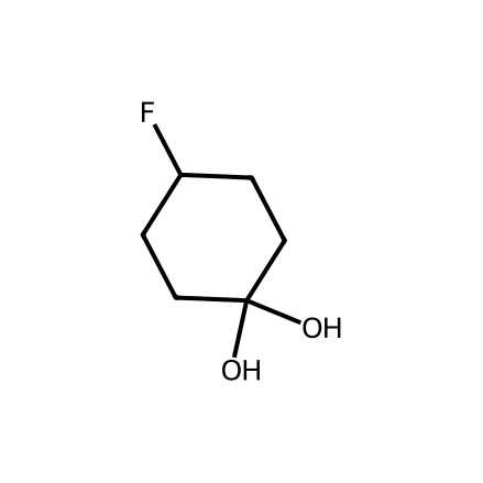 OC1(O)CCC(F)CC1